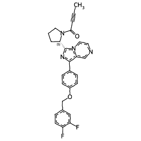 CC#CC(=O)N1CCC[C@H]1c1nc(-c2ccc(OCc3ccc(F)c(F)c3)cc2)c2cnccn12